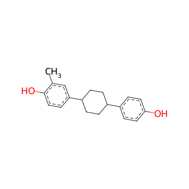 Cc1cc(C2CCC(c3ccc(O)cc3)CC2)ccc1O